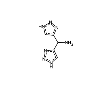 NC(c1c[nH]nn1)c1c[nH]nn1